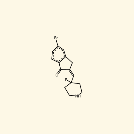 O=C1C(=CC2(F)CCNCC2)Cc2cc(Br)ccc21